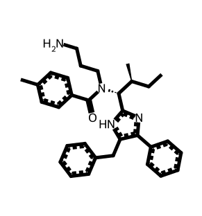 CC[C@H](C)[C@H](c1nc(-c2ccccc2)c(Cc2ccccc2)[nH]1)N(CCCN)C(=O)c1ccc(C)cc1